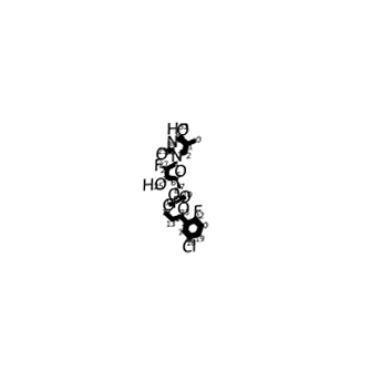 Cc1cn([C@H]2O[C@@H](COP3(=O)OCCC(c4cc(Cl)ccc4F)O3)[C@H](O)[C@H]2F)c(=O)[nH]c1=O